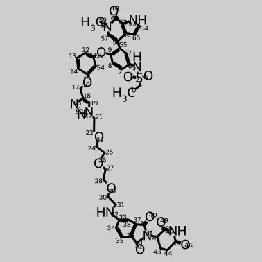 CCS(=O)(=O)Nc1ccc(Oc2cccc(OCc3cn(CCOCCOCCOCCNc4ccc5c(c4)C(=O)N(C4CCC(=O)NC4=O)C5=O)nn3)c2)c(-c2cn(C)c(=O)c3[nH]ccc23)c1